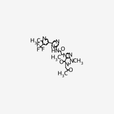 CC(=O)CN1CN(C)c2ncn([C@@H](C)C(=O)Nc3cncc(-c4cnc(C)c(C(F)(F)F)c4)n3)c2C1=O